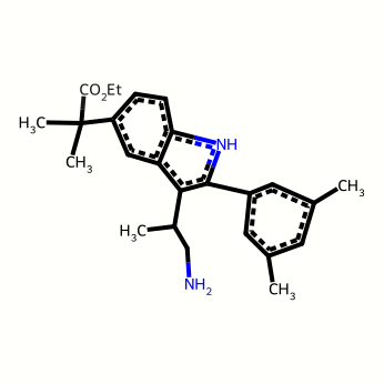 CCOC(=O)C(C)(C)c1ccc2[nH]c(-c3cc(C)cc(C)c3)c(C(C)CN)c2c1